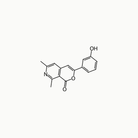 Cc1cc2cc(-c3cccc(O)c3)oc(=O)c2c(C)n1